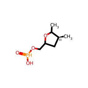 CC1OC(CO[PH](=O)O)C[C@@H]1C